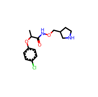 CC(Oc1ccc(Cl)cc1)C(=O)NOCC1CCNC1